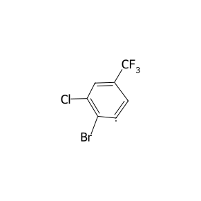 FC(F)(F)c1c[c]c(Br)c(Cl)c1